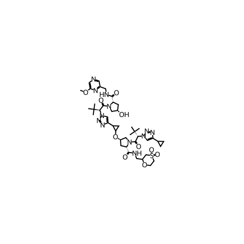 COc1cncc(CNC(=O)[C@@H]2C[C@@H](O)CN2C(=O)[C@@H](n2cc(C3CC3O[C@@H]3C[C@@H](C(=O)NCC4CS(=O)(=O)CCO4)N(C(=O)[C@@H](n4cc(C5CC5)nn4)C(C)(C)C)C3)nn2)C(C)(C)C)n1